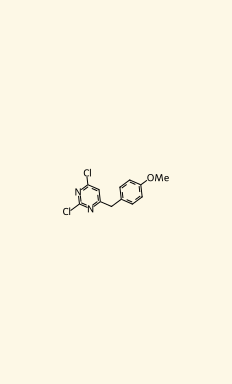 COc1ccc(Cc2cc(Cl)nc(Cl)n2)cc1